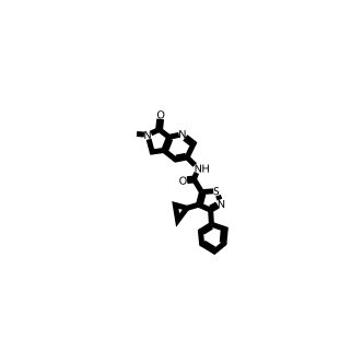 CN1Cc2cc(NC(=O)c3snc(-c4ccccc4)c3C3CC3)cnc2C1=O